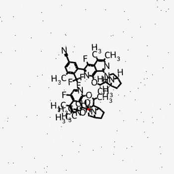 Cc1cc(C#N)cc(-c2nc3c4c(nc(C)c(C)c4c2F)N2C[C@H]4CC[C@H](N4)[C@H]2[C@H](C)O3)c1C(F)(F)F.Cc1nc2c3c(ncc(F)c3c1C)OC(C)C1C3CCC(CN21)N3C(=O)OC(C)(C)C